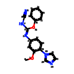 COc1cc(/N=C(/NC#N)Oc2ccccc2)ccc1-n1ccnc1